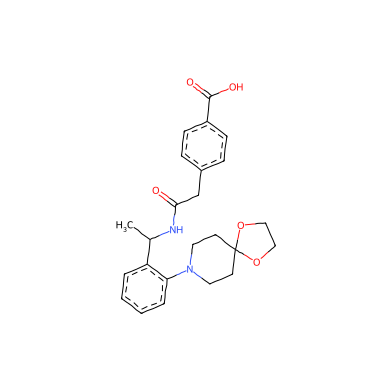 CC(NC(=O)Cc1ccc(C(=O)O)cc1)c1ccccc1N1CCC2(CC1)OCCO2